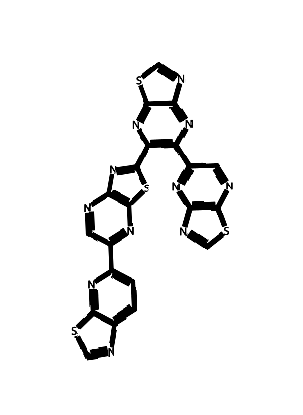 [c]1nc2scnc2nc1-c1nc2ncsc2nc1-c1nc2ncc(-c3ccc4ncsc4n3)nc2s1